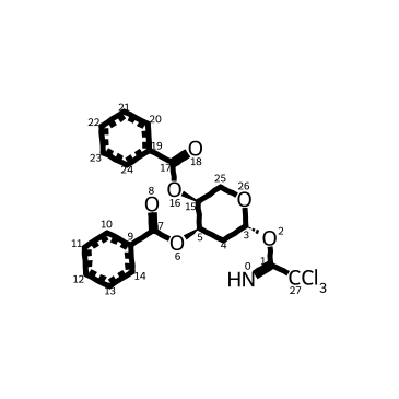 N=C(O[C@@H]1C[C@@H](OC(=O)c2ccccc2)[C@@H](OC(=O)c2ccccc2)CO1)C(Cl)(Cl)Cl